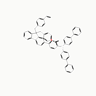 C=Cc1ccc(CC2(Cc3ccc(C=C)cc3)c3ccccc3-c3ccc(-c4ccc(N(c5ccc(-c6ccccc6)cc5)c5ccc(-c6ccccc6)cc5)cc4)cc32)cc1